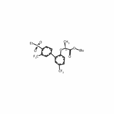 CCS(=O)(=O)c1ccc(-c2cc(C(F)(F)F)ccc2O[C@@H](C)C(=O)OC(C)(C)C)cc1C(F)(F)F